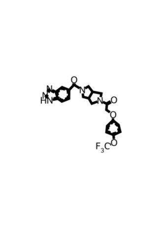 O=C(COc1ccc(OC(F)(F)F)cc1)N1CC2CN(C(=O)c3ccc4[nH]nnc4c3)CC2C1